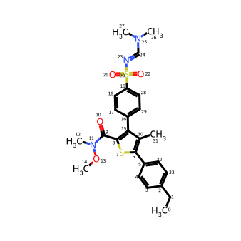 CCc1ccc(-c2sc(C(=O)N(C)OC)c(-c3ccc(S(=O)(=O)N=CN(C)C)cc3)c2C)cc1